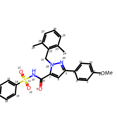 COc1ccc(-c2cc(C(=O)NS(=O)(=O)c3ccccc3)n(Cc3c(C)cccc3C)n2)cc1